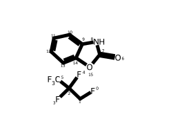 FCC(F)(F)C(F)(F)F.O=c1[nH]c2ccccc2o1